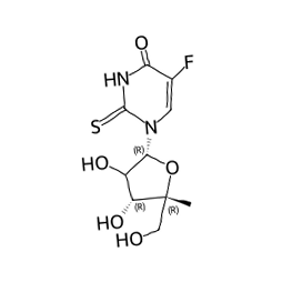 C[C@]1(CO)O[C@@H](n2cc(F)c(=O)[nH]c2=S)C(O)[C@H]1O